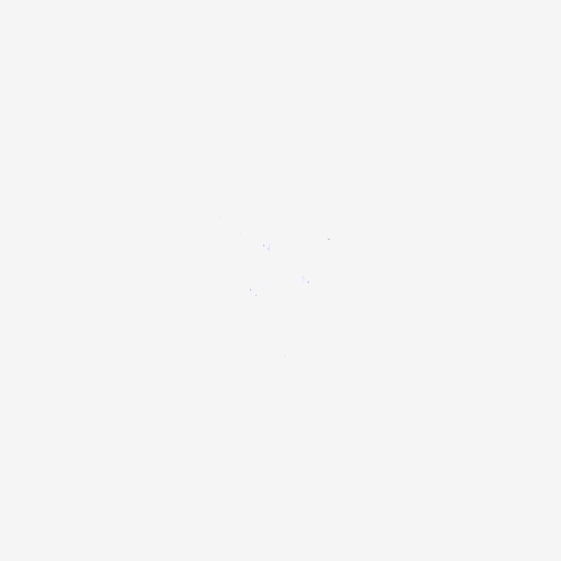 CC(=O)CC1C2CCC2N1c1ncc(C(F)(F)F)cn1